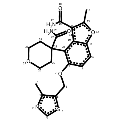 Cc1ncsc1COc1ccc2oc(C)c(C(N)=O)c2c1C1(C(N)=O)CCOCC1